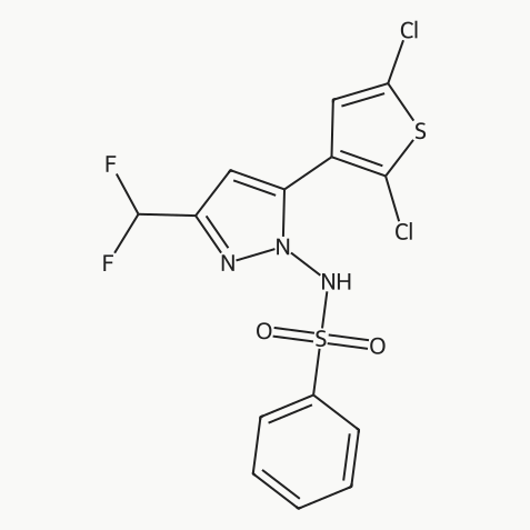 O=S(=O)(Nn1nc(C(F)F)cc1-c1cc(Cl)sc1Cl)c1ccccc1